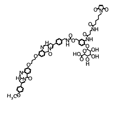 COc1ccc(C2=CN3C(=O)c4ccc(OCCCOc5ccc6c(c5)N=C[C@@H]5CC(c7ccc(CNC(=O)OCc8ccc(O[C@@H]9OC(C(=O)O)[C@@H](O)C(O)[C@@H]9O)c(NC(=O)CCNC(=O)CCCCCN9C(=O)C=CC9=O)c8)cc7)=CN5C6=O)cc4N=C[C@@H]3C2)cc1